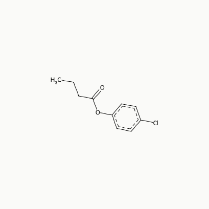 CCCC(=O)Oc1ccc(Cl)cc1